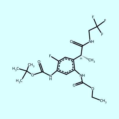 CCOC(=O)Nc1cc(NC(=O)OC(C)(C)C)c(F)cc1[C@@H](C)C(=O)NCC(F)(F)F